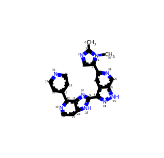 Cc1ncc(-c2cc3c(-c4nc5c(-c6ccncc6)nccc5[nH]4)n[nH]c3cn2)n1C